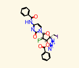 [N-]=[N+]=N[C@]1(CI)O[C@@H](n2ccc(NC(=O)c3ccccc3)nc2=O)[C@H](F)[C@@H]1OC(=O)c1ccccc1